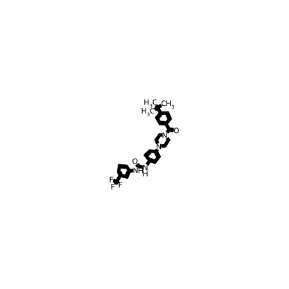 CC(C)(C)c1ccc(C(=O)N2CCN(c3ccc(NC(=O)Nc4cccc(C(F)(F)F)c4)cc3)CC2)cc1